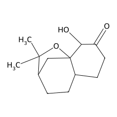 CC1(C)OC23CC1CCC2CCC(=O)C3O